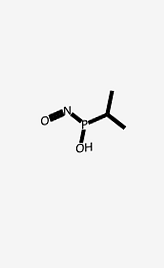 CC(C)P(O)N=O